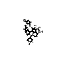 CN1CCC(CN2CCCc3cc(Cl)cc(-c4ccnc5cc(CN6C(=O)CCC6=O)sc45)c32)CC1.O=CO